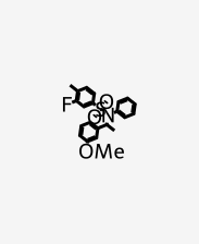 COc1cccc(C(C)N(c2ccccc2)S(=O)(=O)c2ccc(C)c(F)c2)c1